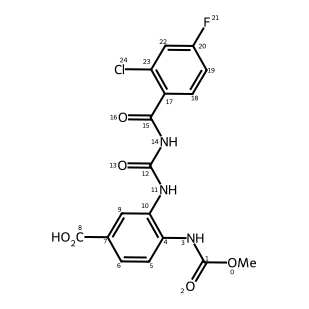 COC(=O)Nc1ccc(C(=O)O)cc1NC(=O)NC(=O)c1ccc(F)cc1Cl